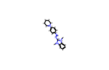 CN1c2ccccc2N(C)C1N=Nc1ccc(N2CCCCC2)cc1